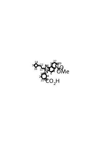 COC(=O)N1c2ccc3c(nc(CCC4CCC4)n3[C@@H]3CCC[C@H](C(=O)O)C3)c2CC[C@@H]1C